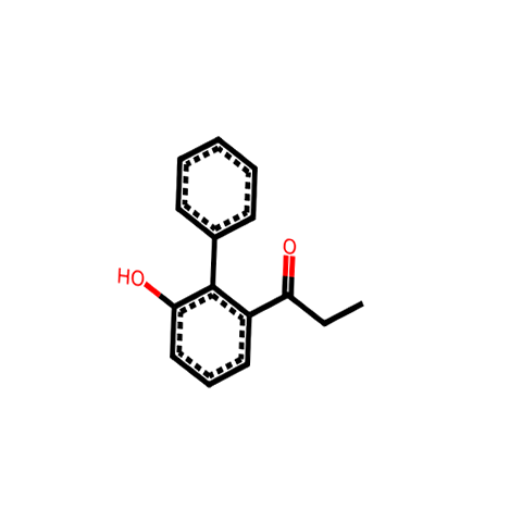 CCC(=O)c1cccc(O)c1-c1ccccc1